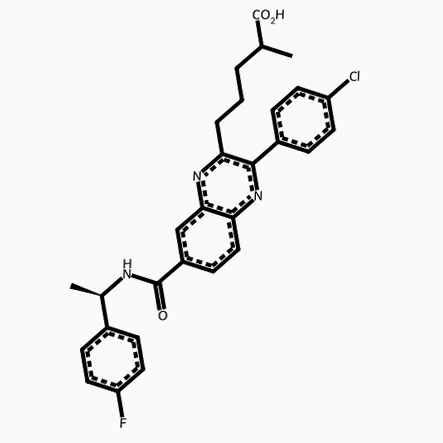 CC(CCCc1nc2cc(C(=O)N[C@H](C)c3ccc(F)cc3)ccc2nc1-c1ccc(Cl)cc1)C(=O)O